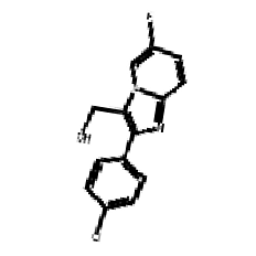 OCc1c(-c2ccc(Cl)cc2)nc2ccc(F)cn12